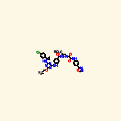 O=C(NC/C(=N/C(=O)c1ccc(Nc2nc(NC3(c4ccc(Cl)cc4)CC3)nc(OCC(F)(F)F)n2)cc1)C(=O)O)C(=O)Nc1ccc(-c2nnco2)cc1